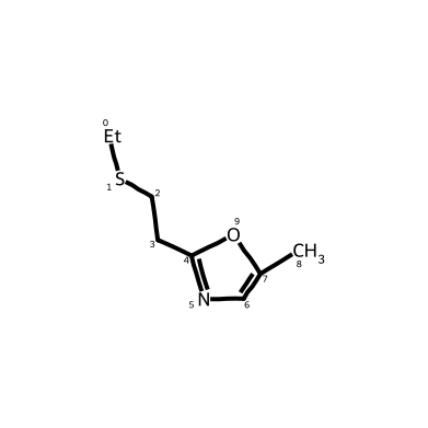 CCSCCc1ncc(C)o1